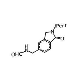 CCCC(C)N1Cc2cc(CNC=O)ccc2C1=O